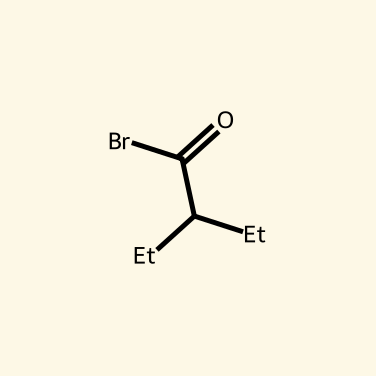 CCC(CC)C(=O)Br